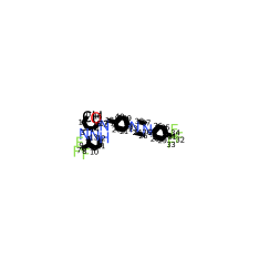 CCC1N=C2C(C(F)(F)F)=CC=CN2C1C(=O)NCc1ccc(N2CCN(c3ccc(C(F)(F)F)cc3)CC2)cc1